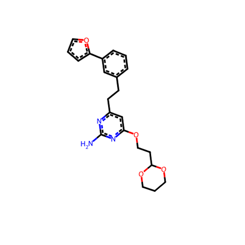 Nc1nc(CCc2cccc(-c3ccco3)c2)cc(OCCC2OCCCO2)n1